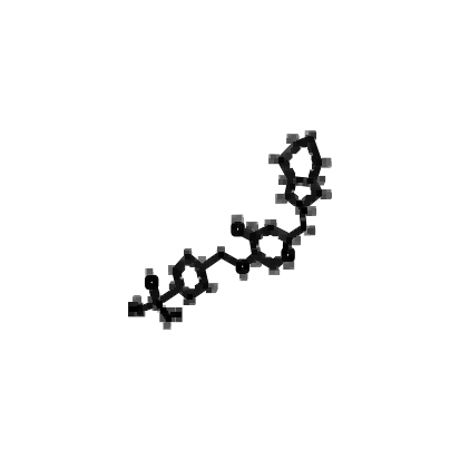 CCS(=N)(=O)c1ccc(COc2coc(Cn3cc4ccccc4c3)cc2=O)cc1